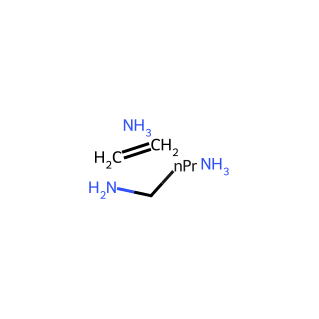 C=C.CCCCN.N.N